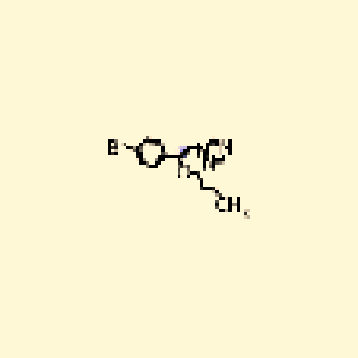 CCCCO/C(=C\n1cncn1)c1ccc(Br)cc1